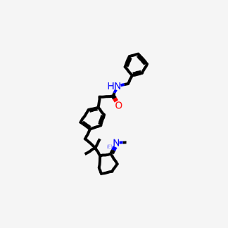 C/N=C1\CCCCC1C(C)(C)Cc1ccc(CC(=O)NCc2ccccc2)cc1